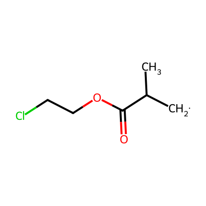 [CH2]C(C)C(=O)OCCCl